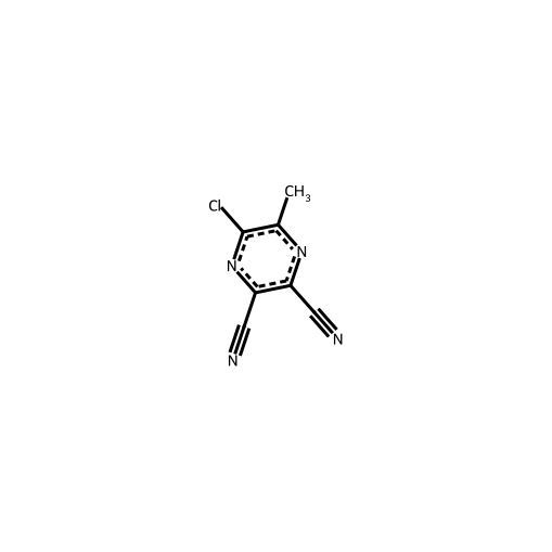 Cc1nc(C#N)c(C#N)nc1Cl